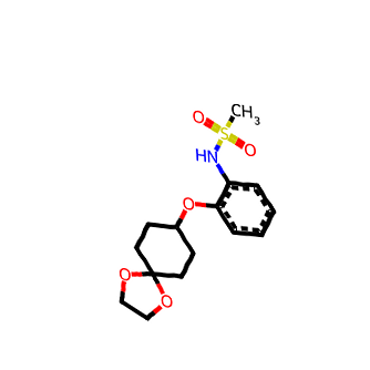 CS(=O)(=O)Nc1ccccc1OC1CCC2(CC1)OCCO2